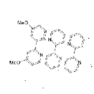 COc1ccnc(-c2cc(OC)ccn2)c1.c1ccc(-c2ccccn2)nc1.c1ccc(-c2ccccn2)nc1